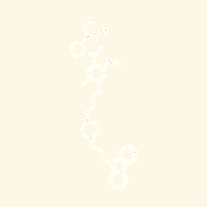 CCSC(SCC)[C@@H]1CCCN1C(=O)c1cc(C)c(OCCCN2CCN(CCCn3c4ccccc4c4ccccc43)CC2)cc1[N+](=O)[O-]